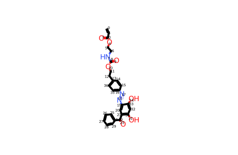 C=CC(=O)OCCNC(=O)OCCc1ccc(/N=N/c2cc(C(=O)c3ccccc3)c(O)cc2O)cc1